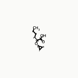 CCCC[C@H](OC1CC1)C(=O)O